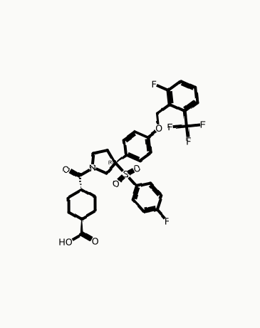 O=C(O)[C@H]1CC[C@H](C(=O)N2CC[C@](c3ccc(OCc4c(F)cccc4C(F)(F)F)cc3)(S(=O)(=O)c3ccc(F)cc3)C2)CC1